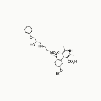 CCOc1ccc(OCCCCNCC(O)COc2ccccc2)c(C2C(C(=O)O)=C(C)NC(C)=C2C(=O)O)c1